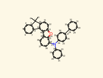 CC1(C)c2ccccc2-c2c1ccc1oc3c(N(c4ccccc4)c4ccc(-c5ccccc5)cc4)cccc3c21